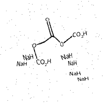 O=C(O)OC(=O)OC(=O)O.[NaH].[NaH].[NaH].[NaH].[NaH].[NaH]